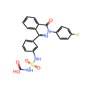 O=C(O)NS(=O)(=O)Nc1cccc(-c2nn(-c3ccc(F)cc3)c(=O)c3ccccc23)c1